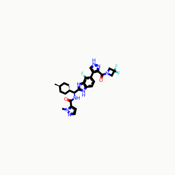 Cn1nccc1C(=O)N[C@H](c1nc2c(F)c(-c3c[nH]nc3C(=O)N3CC(F)(F)C3)ccc2[nH]1)[C@H]1CC[C@H](C)CC1